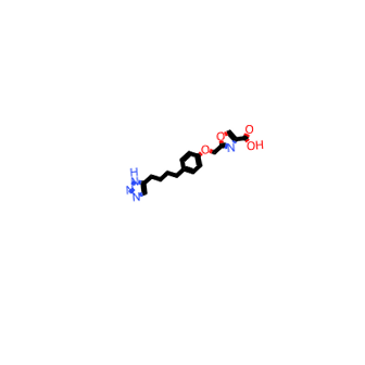 O=C(O)c1coc(COc2ccc(CCCCc3cnn[nH]3)cc2)n1